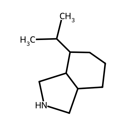 CC(C)C1CCCC2CNCC21